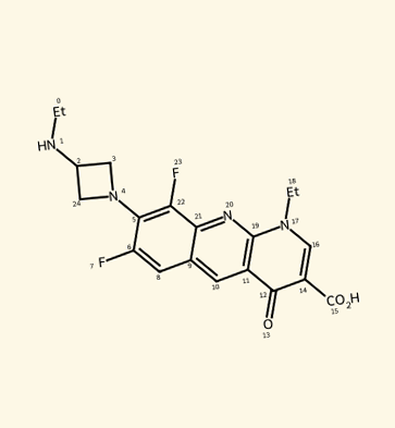 CCNC1CN(c2c(F)cc3cc4c(=O)c(C(=O)O)cn(CC)c4nc3c2F)C1